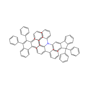 c1ccc(-c2cccc(-c3ccccc3)c2N(c2ccc3c(c2)-c2ccccc2C3(c2ccccc2)c2ccccc2)c2ccccc2-c2ccc3c(c2)c(-c2ccccc2)c(-c2ccccc2)c2ccccc23)cc1